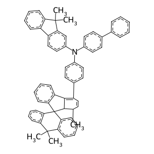 CC1C=CC(c2ccc(N(c3ccc(-c4ccccc4)cc3)c3ccc4c(c3)C(C)(C)c3ccccc3-4)cc2)=C2c3ccccc3C3(c4ccccc4C(C)(C)c4ccccc43)C21